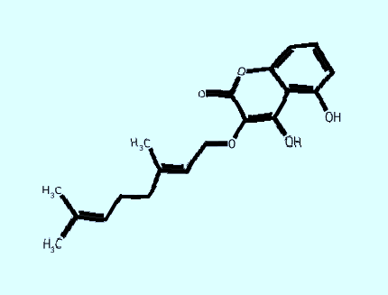 CC(C)=CCC/C(C)=C/COc1c(O)c2c(O)cccc2oc1=O